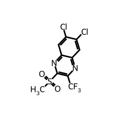 CS(=O)(=O)c1nc2cc(Cl)c(Cl)cc2nc1C(F)(F)F